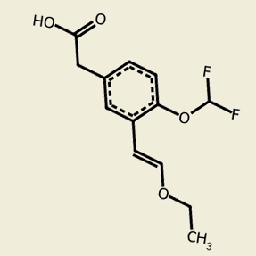 CCO/C=C/c1cc(CC(=O)O)ccc1OC(F)F